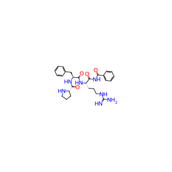 N=C(N)NCCC[C@H](NC(=O)[C@H](Cc1ccccc1)NC(=O)[C@@H]1CCCN1)C(=O)NC(=O)c1ccccc1